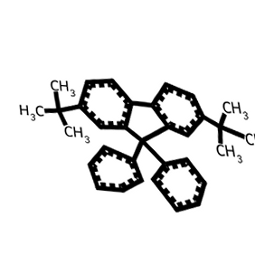 CC(C)(C)c1ccc2c(c1)C(c1ccccc1)(c1ccccc1)c1cc(C(C)(C)C)ccc1-2